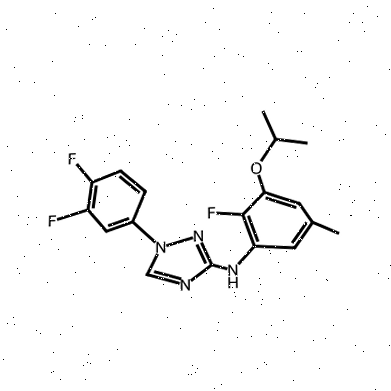 Cc1cc(Nc2ncn(-c3ccc(F)c(F)c3)n2)c(F)c(OC(C)C)c1